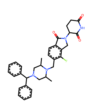 CC1CN(C(c2ccccc2)c2ccccc2)CC(C)N1Cc1ccc2c(c1F)CN(C1CCC(=O)NC1=O)C2=O